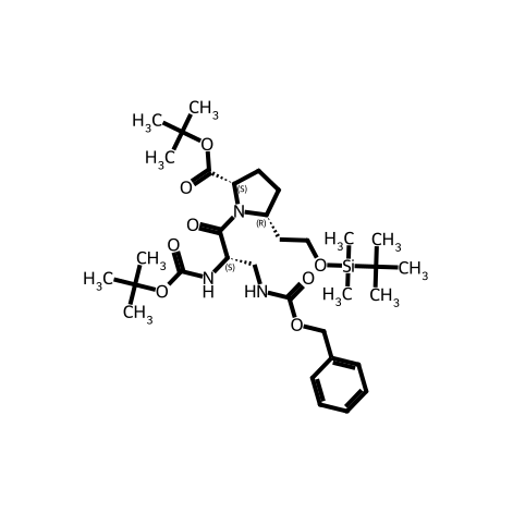 CC(C)(C)OC(=O)N[C@@H](CNC(=O)OCc1ccccc1)C(=O)N1[C@@H](CCO[Si](C)(C)C(C)(C)C)CC[C@H]1C(=O)OC(C)(C)C